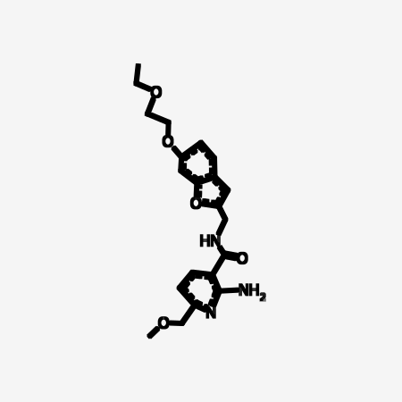 CCOCCOc1ccc2cc(CNC(=O)c3ccc(COC)nc3N)oc2c1